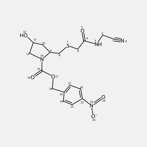 N#CCNC(=O)CSCC1CC(O)CN1C(=O)OCc1ccc([N+](=O)[O-])cc1